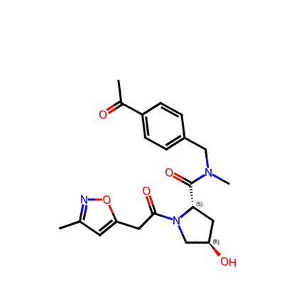 CC(=O)c1ccc(CN(C)C(=O)[C@@H]2C[C@@H](O)CN2C(=O)Cc2cc(C)no2)cc1